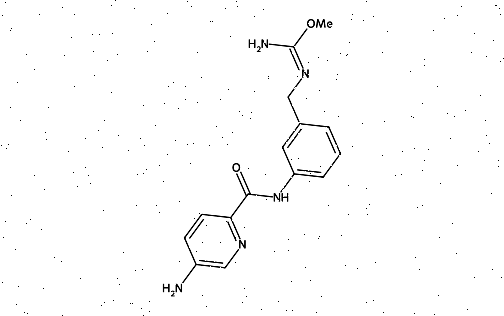 CO/C(N)=N/Cc1cccc(NC(=O)c2ccc(N)cn2)c1